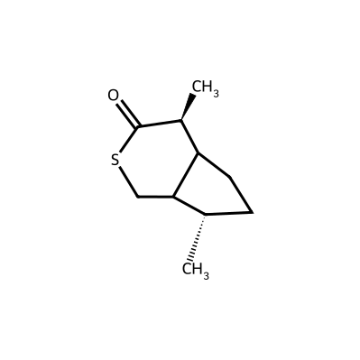 C[C@@H]1C(=O)SCC2C1CC[C@@H]2C